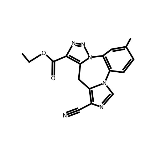 CCOC(=O)c1nnn2c1Cc1c(C#N)ncn1-c1ccc(C)cc1-2